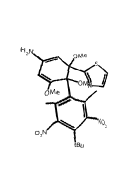 COC1=CC(N)=CC(OC)(c2nccs2)C1(OC)c1c(C)c([N+](=O)[O-])c(C(C)(C)C)c([N+](=O)[O-])c1C